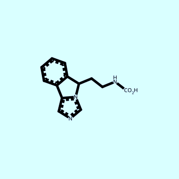 O=C(O)NCCC1c2ccccc2-c2cncn21